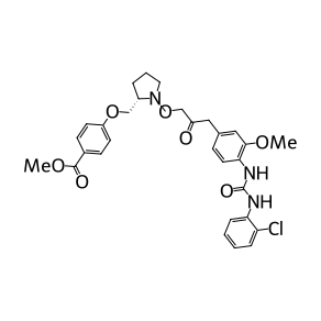 COC(=O)c1ccc(OC[C@@H]2CCCN2OCC(=O)Cc2ccc(NC(=O)Nc3ccccc3Cl)c(OC)c2)cc1